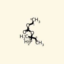 CCOC(=O)OC(C)(P)CC